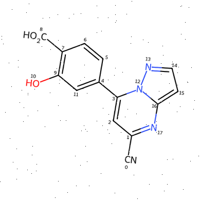 N#Cc1cc(-c2ccc(C(=O)O)c(O)c2)n2nccc2n1